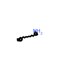 Nc1cccc(CCCCCCCCc2ccc3c(c2)CC3)c1